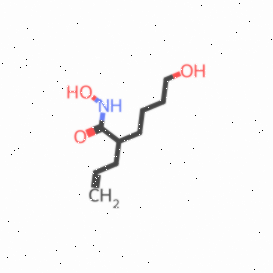 C=CCC(CCCCO)C(=O)NO